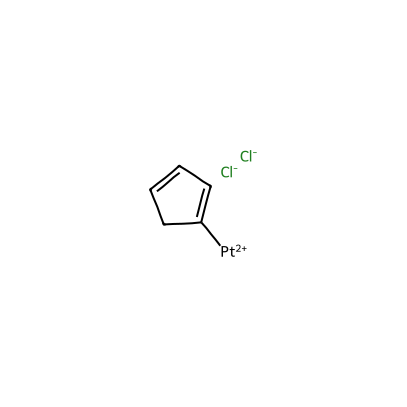 [Cl-].[Cl-].[Pt+2][C]1=CC=CC1